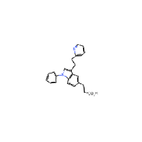 O=C(O)CCc1ccc2c(c1)c(CCc1ccccn1)cn2-c1ccccc1